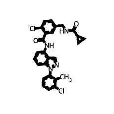 Cc1c(Cl)cccc1-n1ncc2c(NC(=O)c3cc(CNC(=O)C4CC4)ccc3Cl)cccc21